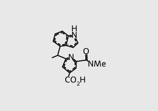 CNC(=O)c1cc(C(=O)O)cc(C(C)c2cccc3[nH]ccc23)n1